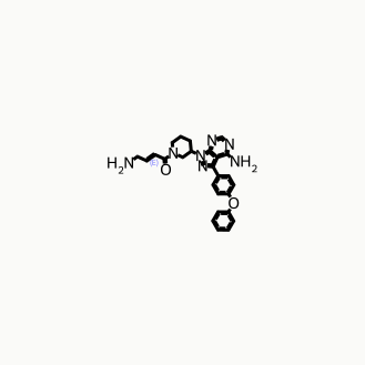 NC/C=C/C(=O)N1CCCC(n2nc(-c3ccc(Oc4ccccc4)cc3)c3c(N)ncnc32)C1